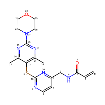 C=CC(=O)NCc1ccnc(Sc2c(C)nc(N3CCOCC3)nc2C)n1